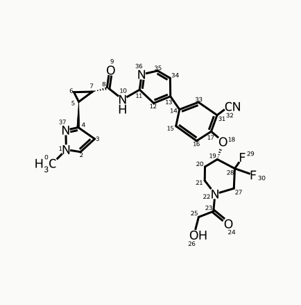 Cn1ccc([C@H]2C[C@@H]2C(=O)Nc2cc(-c3ccc(O[C@H]4CCN(C(=O)CO)CC4(F)F)c(C#N)c3)ccn2)n1